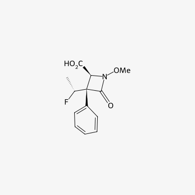 CON1C(=O)[C@](c2ccccc2)([C@@H](C)F)[C@H]1C(=O)O